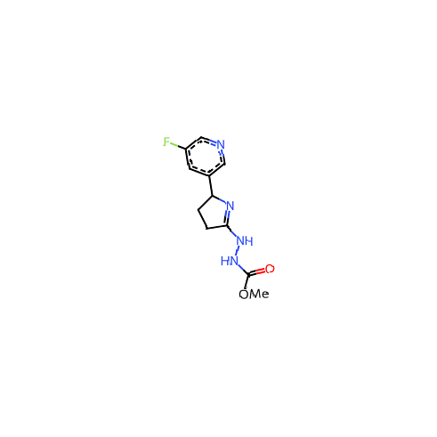 COC(=O)NNC1=NC(c2cncc(F)c2)CC1